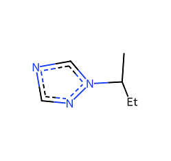 CCC(C)n1cncn1